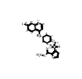 COC(=O)c1sccc1S(=O)(=O)N[C@H]1CC[C@@H](Nc2ccnc3cc(Cl)ccc23)CC1